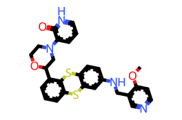 COc1ccncc1CNc1ccc2c(c1)Sc1cccc(C3CN(c4ccc[nH]c4=O)CCO3)c1S2